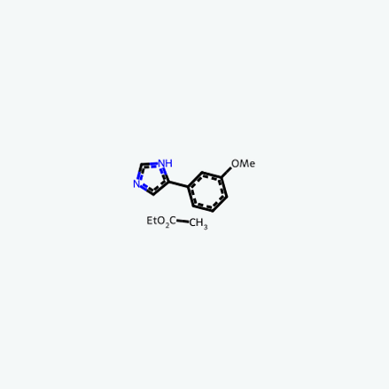 CCOC(C)=O.COc1cccc(-c2cnc[nH]2)c1